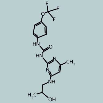 Cc1cc(NCC(C)O)nc(NC(=O)Nc2ccc(OC(F)(F)F)cc2)n1